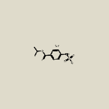 CC(C)OC(=O)c1ccc(NS(=O)(=O)[O-])cc1.[Na+]